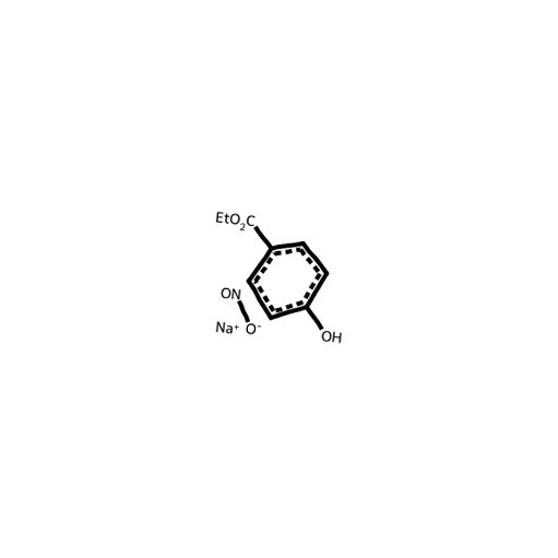 CCOC(=O)c1ccc(O)cc1.O=N[O-].[Na+]